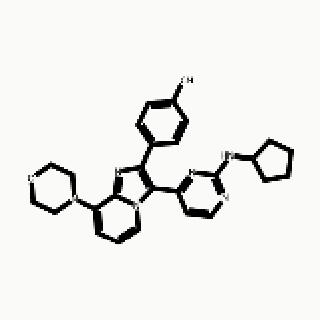 N#Cc1ccc(-c2nc3c(N4CCOCC4)cccn3c2-c2ccnc(NC3CCCC3)n2)cc1